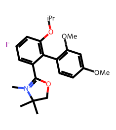 COc1ccc(-c2c(OC(C)C)cccc2C2=[N+](C)C(C)(C)CO2)c(OC)c1.[I-]